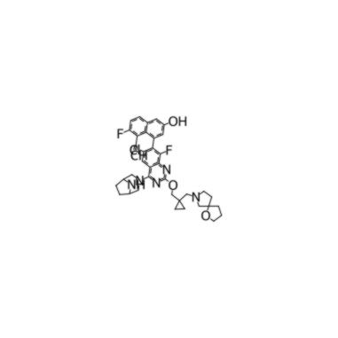 C#Cc1c(F)ccc2cc(O)cc(-c3c(Cl)cc4c(N5CC6CCC(C5)N6)nc(OCC5(CN6CCC7(CCCO7)C6)CC5)nc4c3F)c12